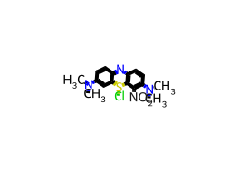 CN(C)c1ccc2c(c1)=S(Cl)c1c(ccc(N(C)C)c1[N+](=O)[O-])N=2